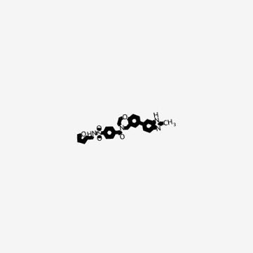 Cc1nc2ccc(-c3ccc4c(c3)CN(C(=O)c3ccc(S(=O)(=O)NCc5ccco5)cc3)CCO4)cc2[nH]1